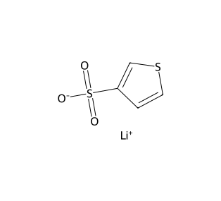 O=S(=O)([O-])c1ccsc1.[Li+]